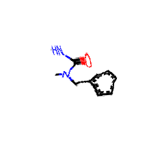 CN(Cc1ccccc1)C([NH])=O